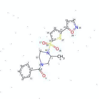 CC1CN(C(=O)c2ccccc2)CCN1S(=O)(=O)c1ccc(-c2ccno2)s1